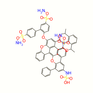 CC(C)c1cccc(C(C)C)c1-n1c(=O)c2cc(Oc3ccc(S(=O)(=O)ON)cc3-c3ccc(S(=O)(=O)ON)cc3)c3oc4ccccc4c4c(Oc5c(-c6ccccc6)cc(NS(=O)(=O)O)cc5-c5ccc(S(=O)(=O)ON)cc5)cc(c1=O)c2c34